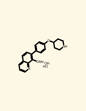 COc1c(-c2ccc(OC3CCNCC3)cc2)ccc2cccnc12.Cl.Cl